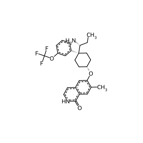 CC[C@@H](N)[C@]1(c2cccc(OC(F)(F)F)c2)CC[C@@H](Oc2cc3cc[nH]c(=O)c3cc2C)CC1